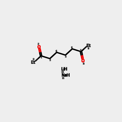 CCC(=O)CCCCC(=O)CC.[LiH].[NaH]